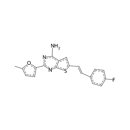 Cc1ccc(-c2nc(N)c3cc(C=Cc4ccc(F)cc4)sc3n2)o1